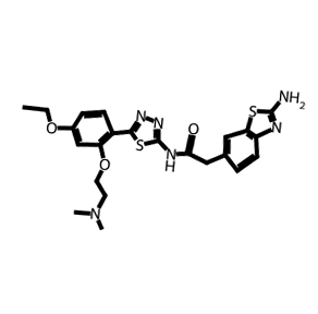 CCOc1ccc(-c2nnc(NC(=O)Cc3ccc4nc(N)sc4c3)s2)c(OCCN(C)C)c1